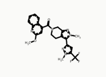 COc1cc(C(=O)N2CCc3c(nn(C)c3-c3cc(C(F)(F)F)n(C)n3)C2)c2ccccc2n1